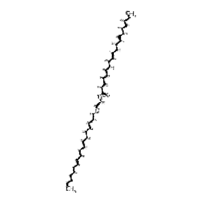 CCCCCCCCC=CCCCCCCCCOCCOC(=O)CCCCCCCCCCCCCCCCCCC